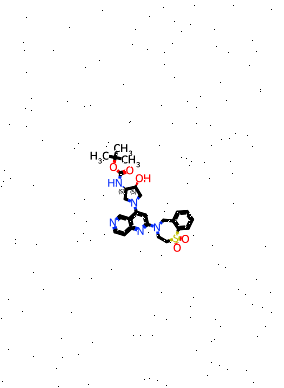 CC(C)(C)OC(=O)N[C@H]1CN(c2cc(N3CCS(=O)(=O)c4ccccc4C3)nc3ccncc23)C[C@@H]1O